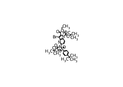 CCOC(=O)c1c(Br)c2nc(N(C(=O)OC(C)(C)C)S(=O)(=O)c3ccc(C(C)(C)C)cc3)ccc2n1C(=O)OC(C)(C)C